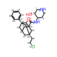 O=C(N[C@@H]1CCNC[C@H]1O)C12CC3C[C@@](CCCl)(C1)C[C@](c1ccccc1)(C3)C2